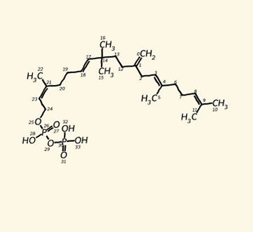 C=C(C/C=C(\C)CCC=C(C)C)CCC(C)(C)/C=C/CC/C(C)=C\COP(=O)(O)OP(=O)(O)O